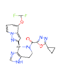 O=C(c1nnc(C2CC2)o1)N1CCc2[nH]cnc2[C@H]1c1cc2c(OC(F)F)cccn2n1